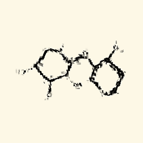 Cc1ccncc1O[C@@H]1SC[C@@H](O)[C@H](O)[C@H]1O